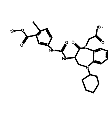 Cc1ccc(NC(=O)NC2CN(C3CCCCC3)c3ccccc3N(CC(=O)C(C)(C)C)C2=O)cc1C(=O)OC(C)(C)C